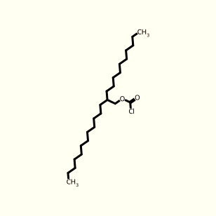 CCCCCCCCCCCCC(CCCCCCCCCC)COC(=O)Cl